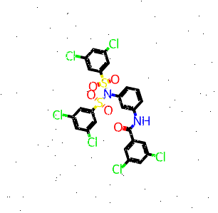 O=C(Nc1cccc(N(S(=O)(=O)c2cc(Cl)cc(Cl)c2)S(=O)(=O)c2cc(Cl)cc(Cl)c2)c1)c1cc(Cl)cc(Cl)c1